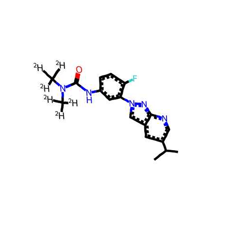 [2H]C([2H])([2H])N(C(=O)Nc1ccc(F)c(-n2cc3cc(C(C)C)cnc3n2)c1)C([2H])([2H])[2H]